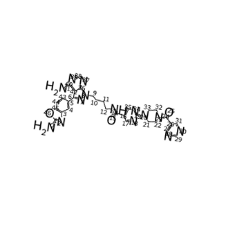 Nc1nc2cc(-c3nn(CCCCNC(=O)c4cnc(N5CCN(C(=O)c6cncnc6)CC5)nc4)c4ncnc(N)c34)ccc2o1